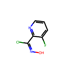 O/N=C(/Cl)c1ncccc1F